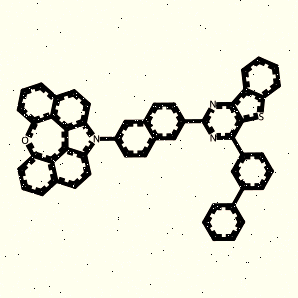 c1ccc(-c2cccc(-c3nc(-c4ccc5cc(-n6c7ccc8cccc9oc%10cccc%11ccc6c(c%11%10)c7c89)ccc5c4)nc4c3sc3ccccc34)c2)cc1